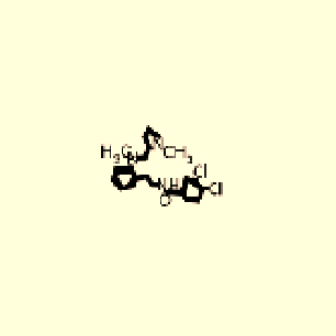 CN(CC1CCCN1C)c1ccccc1CCNC(=O)c1ccc(Cl)c(Cl)c1